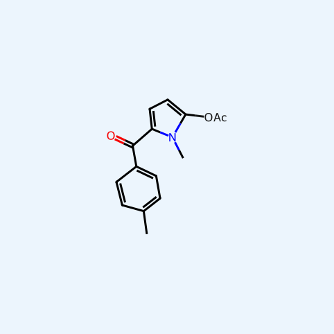 CC(=O)Oc1ccc(C(=O)c2ccc(C)cc2)n1C